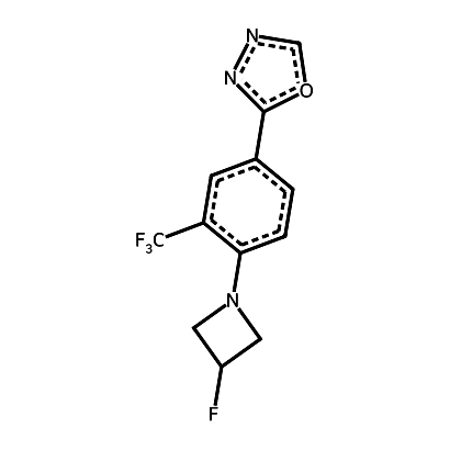 FC1CN(c2ccc(-c3nnco3)cc2C(F)(F)F)C1